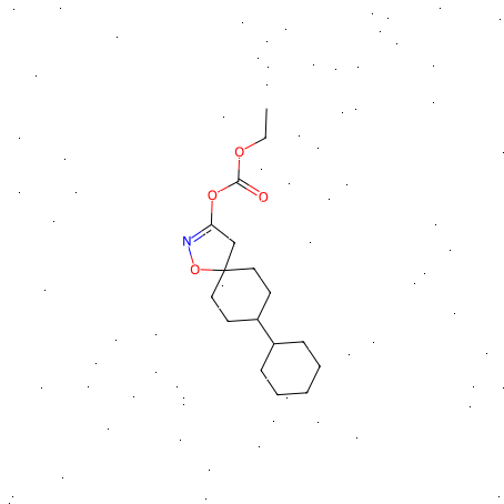 CCOC(=O)OC1=NOC2(CCC(C3CCCCC3)CC2)C1